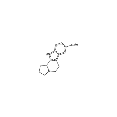 COc1ccc2[nH]c3c(c2c1)CCN1CCCC31